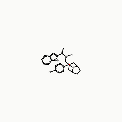 CCN(CC1CC2CCC(C1)N2Cc1ccc(Cl)cc1)C(=O)c1cc2ccccc2[nH]1